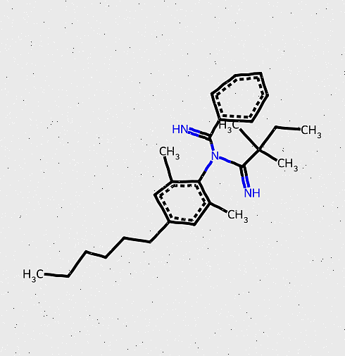 CCCCCCc1cc(C)c(N(C(=N)c2ccccc2)C(=N)C(C)(C)CC)c(C)c1